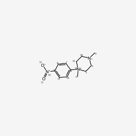 CN1CC[N+](C)(c2ccc([N+](=O)[O-])cc2)CC1